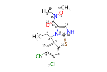 CCC(c1ccc(Cl)c(Cl)c1)n1c(C(=O)N(C)OC)c[nH]c1=S